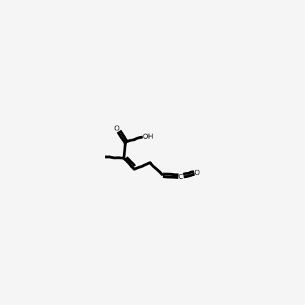 CC(=CCC=C=O)C(=O)O